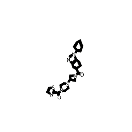 O=C(c1ccc2c(c1)ncn2-c1ccccc1)N1CC(N2CCN(C(=O)c3nccs3)CC2)C1